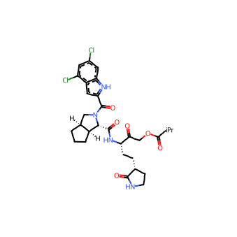 CC(C)C(=O)OCC(=O)[C@H](CC[C@@H]1CCNC1=O)NC(=O)[C@@H]1[C@H]2CCC[C@H]2CN1C(=O)c1cc2c(Cl)cc(Cl)cc2[nH]1